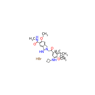 Br.CCOc1cc2c(cc1C(=O)NC)C(=N)N(CC(=O)c1cc(NC3CCC3)c(OC)c(C(C)(C)C)c1)C2